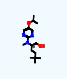 CC(C)Oc1cnc(N(C)[C@@H](CO)CCC(C)(C)C)nc1